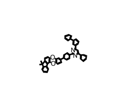 CC1(C)c2ccccc2-c2c1ccc1c2Oc2ccc(-c3ccc(-c4nc(-c5ccccc5)cc(-c5cccc(-c6ccccc6)c5)n4)cc3)cc2O1